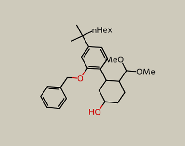 CCCCCCC(C)(C)c1ccc(C2CC(O)CCC2C(OC)OC)c(OCc2ccccc2)c1